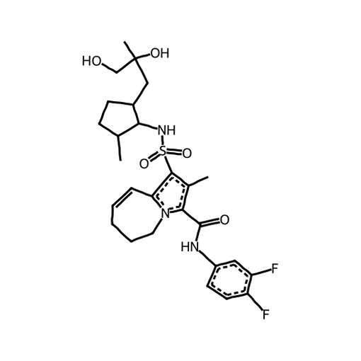 Cc1c(S(=O)(=O)NC2C(C)CCC2CC(C)(O)CO)c2n(c1C(=O)Nc1ccc(F)c(F)c1)CCCC=C2